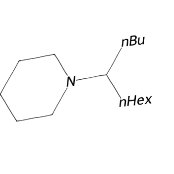 CCCCCCC(CCCC)N1CCCCC1